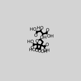 O=C(O)C(O)C(O)C(=O)O.O=C(O)C1(C(=O)O)CCOC1(C(=O)O)C(=O)O